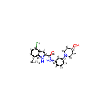 Cc1ccc(F)c2cc(C(=O)Nc3cccc(N4CCC(O)CC4)c3)[nH]c12